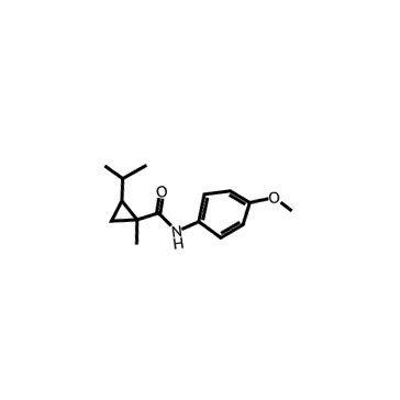 COc1ccc(NC(=O)C2(C)CC2C(C)C)cc1